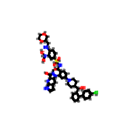 Cn1c(=O)c2nc3[nH]ccc3cc2n1-c1cc(N2CCC([C@@H](O)c3ccccc3-c3ccc(Cl)cc3)CC2)ccc1C(=O)NS(=O)(=O)c1ccc(NC[C@@H]2COCCO2)c([N+](=O)[O-])c1